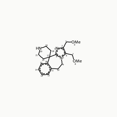 COCc1nc2n(c1COC)CCc1ccccc1C21CCNCC1